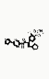 CS(=O)(=O)c1ccc(/C(=C\C2CCCC2)C(=O)Nc2cnc(-c3ccsc3)cn2)cc1Cl